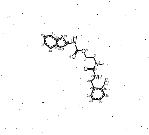 CN(CCOC(=O)Nc1nc2ccccc2s1)C(=O)NCc1ccccc1Cl